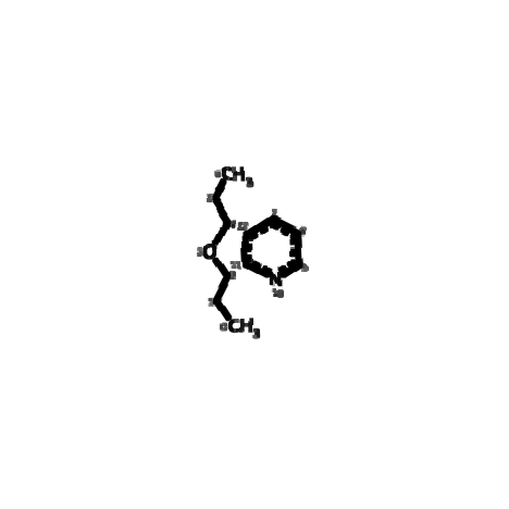 CCCOCCC.c1ccncc1